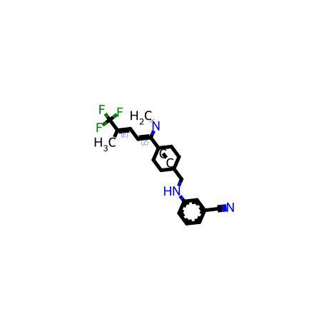 C=N/C(=C\C=C(/C)C(F)(F)F)C12CCC(CNc3cccc(C#N)c3)(CC1)CC2